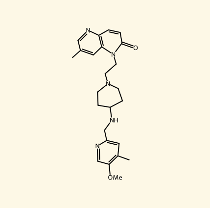 COc1cnc(CNC2CCN(CCn3c(=O)ccc4ncc(C)cc43)CC2)cc1C